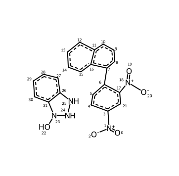 O=[N+]([O-])c1ccc(-c2cccc3ccccc23)c([N+](=O)[O-])c1.ON1NNc2ccccc21